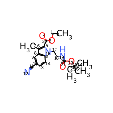 CCOC(=O)c1c(C)c2cc(C#N)ccc2n1CCNC(=O)OC(C)(C)C